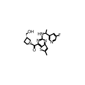 Cc1cc2nc(NC(C)c3cncc(F)c3)nc(C(=O)N3CC[C@H](CO)C3)c2s1